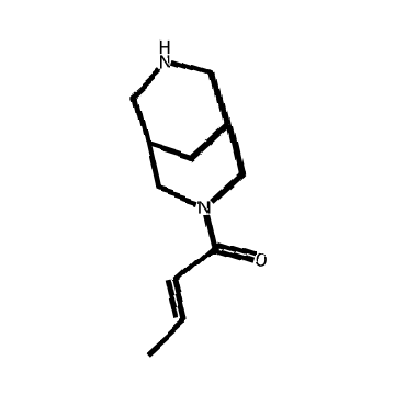 CC=CC(=O)N1CC2CNCC(C2)C1